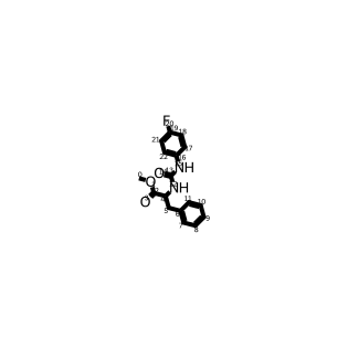 COC(=O)C(Cc1ccccc1)NC(=O)Nc1ccc(F)cc1